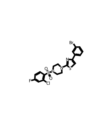 O=S(=O)(c1ccc(F)cc1Cl)N1CCN(c2nc(-c3cccc(Br)c3)cs2)CC1